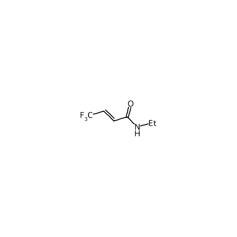 CCNC(=O)/C=C/C(F)(F)F